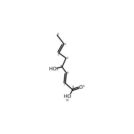 CC=CCC(O)C=CC(=O)O